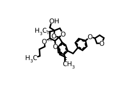 CCCCOC1[C@@H](OCCCC)[C@H](C)C2(CO)COC1(c1ccc(F)c(Cc3ccc(OC4CCOC4)cc3)c1)O2